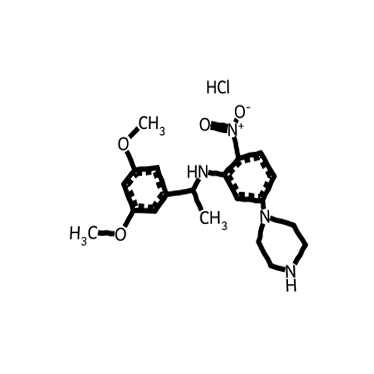 COc1cc(OC)cc(C(C)Nc2cc(N3CCNCC3)ccc2[N+](=O)[O-])c1.Cl